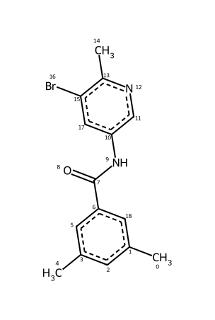 Cc1cc(C)cc(C(=O)Nc2cnc(C)c(Br)c2)c1